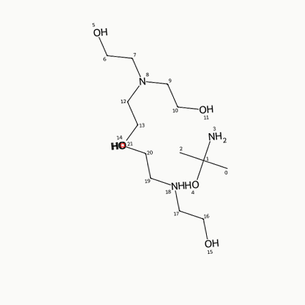 CC(C)(N)O.OCCN(CCO)CCO.OCCNCCO